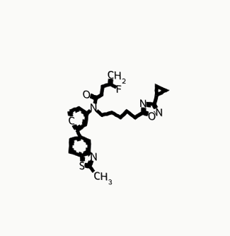 C=C(F)CCC(=O)N(CCCCCc1nc(C2CC2)no1)c1cccc(-c2ccc3sc(C)nc3c2)c1